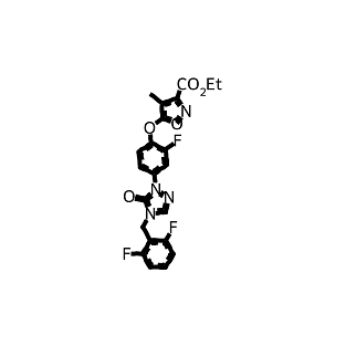 CCOC(=O)c1noc(Oc2ccc(-n3ncn(Cc4c(F)cccc4F)c3=O)cc2F)c1C